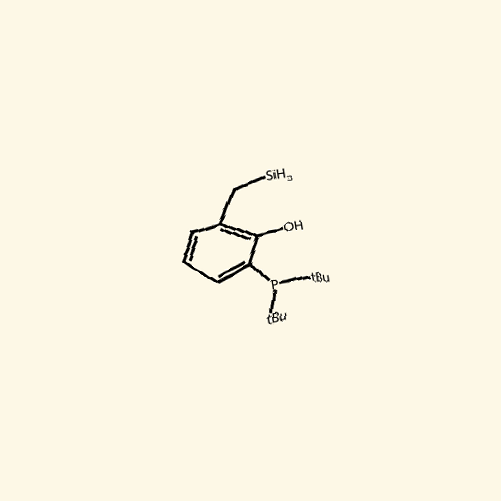 CC(C)(C)P(c1cccc(C[SiH3])c1O)C(C)(C)C